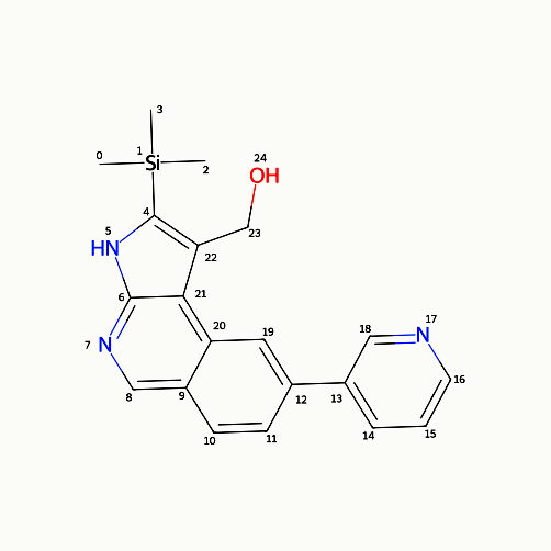 C[Si](C)(C)c1[nH]c2ncc3ccc(-c4cccnc4)cc3c2c1CO